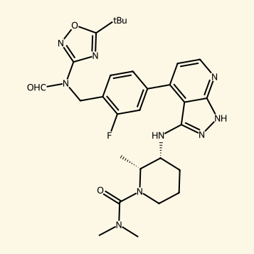 C[C@@H]1[C@H](Nc2n[nH]c3nccc(-c4ccc(CN(C=O)c5noc(C(C)(C)C)n5)c(F)c4)c23)CCCN1C(=O)N(C)C